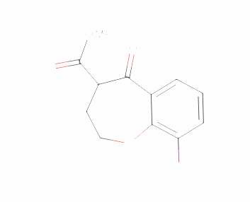 COC(=O)C1CCOc2c(I)cccc2C1=O